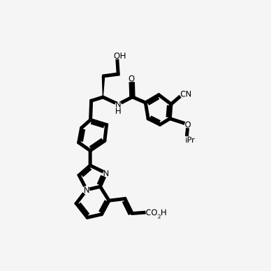 CC(C)Oc1ccc(C(=O)N[C@H](CCO)Cc2ccc(-c3cn4cccc(/C=C/C(=O)O)c4n3)cc2)cc1C#N